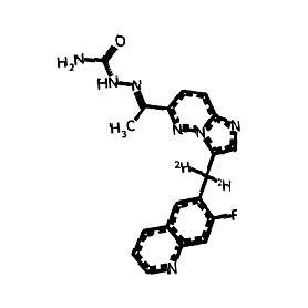 [2H]C([2H])(c1cc2cccnc2cc1F)c1cnc2ccc(/C(C)=N/NC(N)=O)nn12